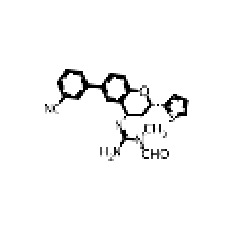 CN(C=O)/C(N)=N\[C@H]1C[C@@H](c2cccs2)Oc2ccc(-c3cccc(C#N)c3)cc21